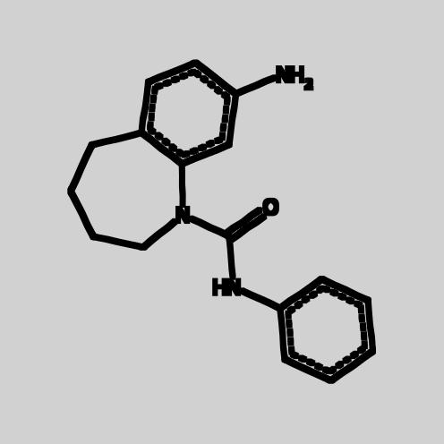 Nc1ccc2c(c1)N(C(=O)Nc1ccccc1)CCCC2